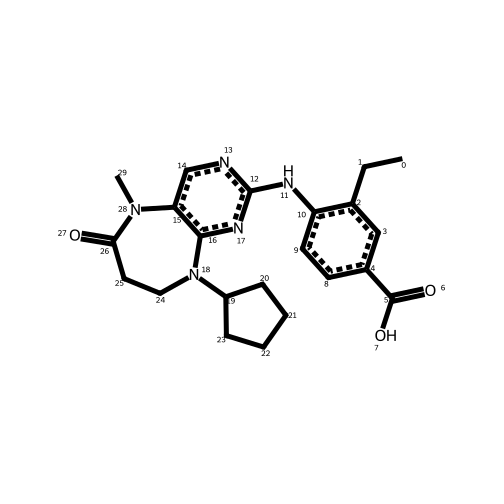 CCc1cc(C(=O)O)ccc1Nc1ncc2c(n1)N(C1CCCC1)CCC(=O)N2C